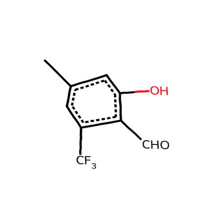 Cc1cc(O)c(C=O)c(C(F)(F)F)c1